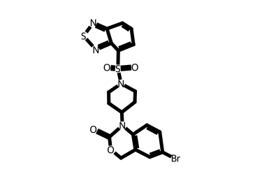 O=C1OCc2cc(Br)ccc2N1C1CCN(S(=O)(=O)c2cccc3nsnc23)CC1